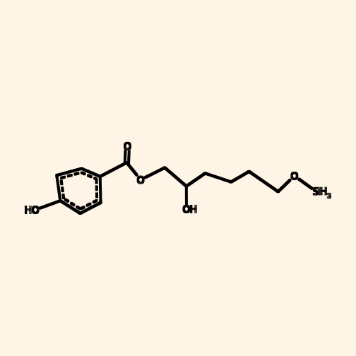 O=C(OCC(O)CCCCO[SiH3])c1ccc(O)cc1